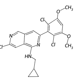 COc1cc(OC)c(Cl)c(-c2cc3cnc(Cl)cc3c(NCC3CC3)n2)c1Cl